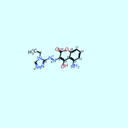 CCn1cnnc1N=Nc1c(O)c2c(N)cccc2oc1=O